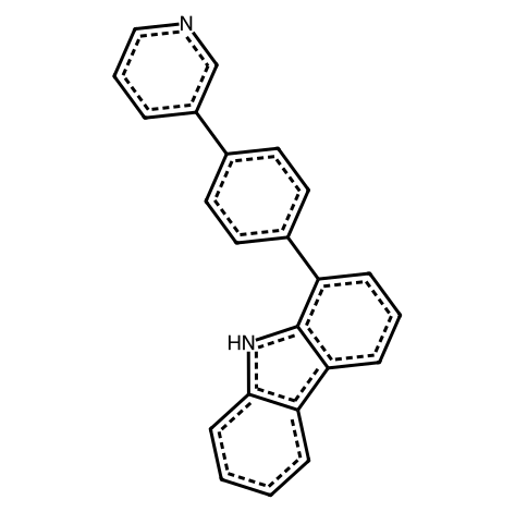 c1cncc(-c2ccc(-c3cccc4c3[nH]c3ccccc34)cc2)c1